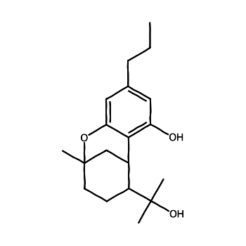 CCCc1cc(O)c2c(c1)OC1(C)CCC(C(C)(C)O)C2C1